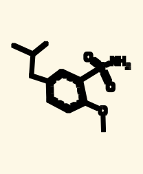 COc1ccc(CC(C)C)cc1S(N)(=O)=O